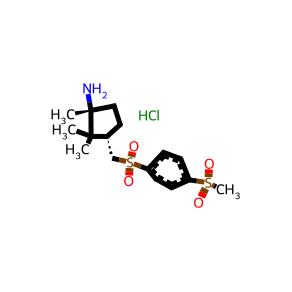 CC1(C)[C@@H](CS(=O)(=O)c2ccc(S(C)(=O)=O)cc2)CC[C@@]1(C)N.Cl